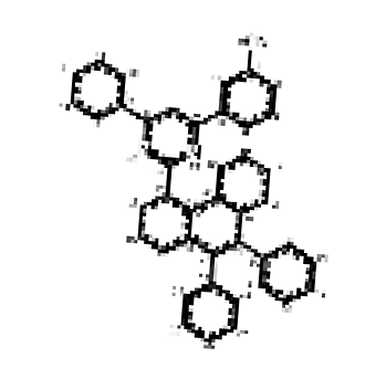 N#Cc1cccc(-c2cc(-c3ccccc3)nc(-c3cccc4c(-c5ccccc5)c(-c5ccccc5)c5ccccc5c34)n2)c1